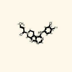 CC=CC(=O)N1CCc2c(sc3ncnc(Nc4ccc(F)c(Cl)c4)c23)C1